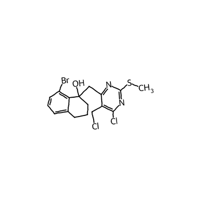 CSc1nc(Cl)c(CCl)c(CC2(O)CCCc3cccc(Br)c32)n1